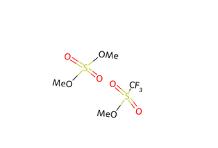 COS(=O)(=O)C(F)(F)F.COS(=O)(=O)OC